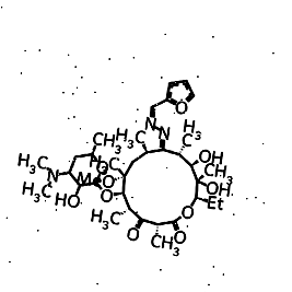 CC[C@H]1OC(=O)[C@H](C)C(=O)[C@H](C)[C@@H](OC2OC(C)CC(N(C)C)C2O)[C@](C)(OC)C[C@@H](C)/C(=N\N=C/c2ccco2)[C@H](C)[C@@H](O)[C@]1(C)O